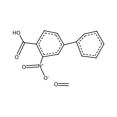 C=O.O=C(O)c1ccc(-c2ccccc2)cc1[N+](=O)[O-]